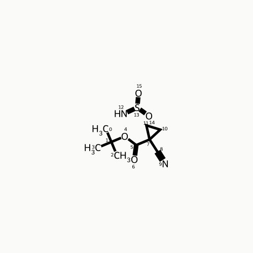 CC(C)(C)OC(=O)C1(C#N)CC1.N=S(=O)=O